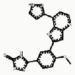 COc1ccc(-c2noc(=O)[nH]2)cc1-c1cc2nccc(-c3cc[nH]n3)c2o1